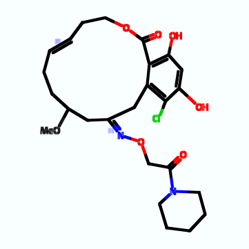 COC1CC/C=C/CCOC(=O)c2c(O)cc(O)c(Cl)c2C/C(=N\OCC(=O)N2CCCCC2)C1